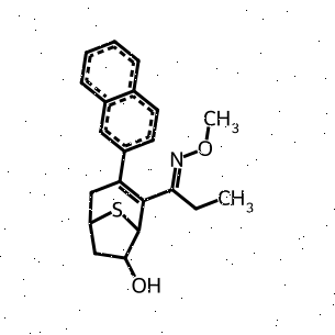 CCC(=NOC)C1=C(c2ccc3ccccc3c2)CC2CC(O)C1S2